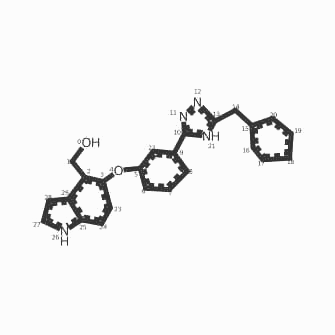 OCc1c(Oc2cccc(-c3nnc(Cc4ccccc4)[nH]3)c2)ccc2[nH]ccc12